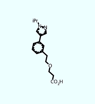 CC(C)n1cc(-c2cccc(CCOCCC(=O)O)c2)cn1